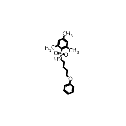 Cc1cc(C)c(S(=O)(=O)NCCCCOc2ccccc2)c(C)c1